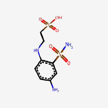 Nc1ccc(NCCS(=O)(=O)O)c(S(N)(=O)=O)c1